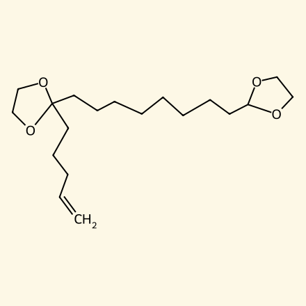 C=CCCCC1(CCCCCCCCC2OCCO2)OCCO1